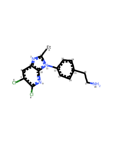 CCc1nc2cc(Cl)c(Cl)nc2n1-c1ccc(CCN)cc1